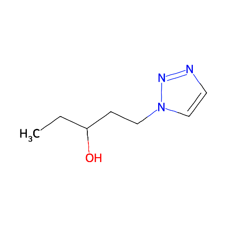 CCC(O)CCn1ccnn1